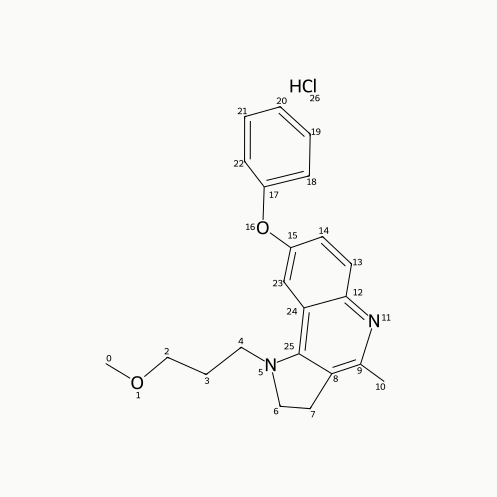 COCCCN1CCc2c(C)nc3ccc(Oc4ccccc4)cc3c21.Cl